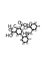 Cc1c(C(=O)O)cc(-c2ccccc2NCc2ccccc2Cl)cc1C(=O)O